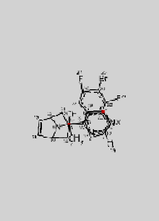 CC(C)(c1ccccc1)N1C2C=CC1CC(c1nc(Cl)nc3c(F)c(Br)c(F)cc13)C2